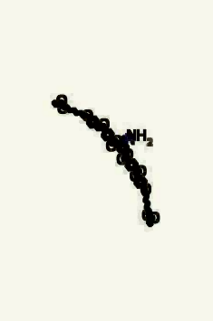 C=CC(=O)OCCCCCCOc1ccc(CC(=O)C2CCC(C(=O)Oc3ccc(OC(=O)C4CCC(C(=O)Oc5ccc(OCCCCCCOC(=O)C=C)cc5)CC4)cc3/C(C)=N/N)CC2)cc1